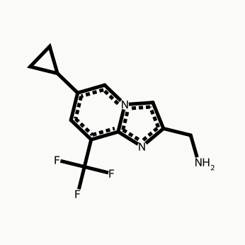 NCc1cn2cc(C3CC3)cc(C(F)(F)F)c2n1